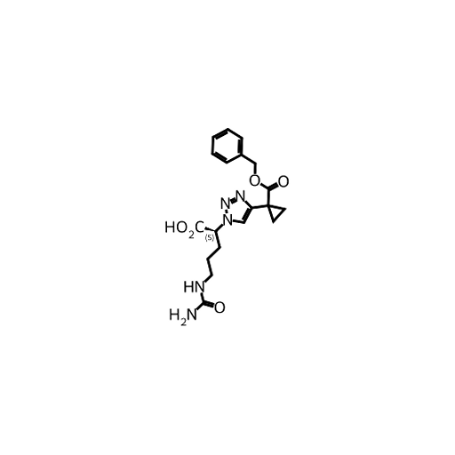 NC(=O)NCCC[C@@H](C(=O)O)n1cc(C2(C(=O)OCc3ccccc3)CC2)nn1